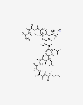 C/C=C/C[C@@H](C)[C@H](O)C(C(=O)N[C@H](CC)C(=O)N(C)CC(=O)N(C)[C@@H](C)C(N)=O)N(C)C(=O)[C@H](C(C)C)N(C)C(=O)[C@@H](CC(C)C)N(C)C(=O)[C@@H](CC(C)C)N(C)C(=O)[C@H](C)NC(=O)[C@@H](C)NC(=O)[C@H](C)N(C)C(=O)[C@H](C)CC(C)C